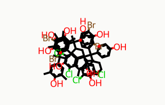 Cc1cc(C(C)(CC(c2cc(C)c(O)c(C)c2)(c2cc(C)c(O)c(C)c2)C(CC(c2cc(Cl)c(O)c(Cl)c2)(c2cc(Cl)c(O)c(Cl)c2)C(c2ccc(O)cc2)(c2ccc(O)cc2)C2CCCCC2)C(C)(c2cc(Br)c(O)c(Br)c2)c2cc(Br)c(O)c(Br)c2)c2cc(C)c(O)c(C)c2)cc(C)c1O